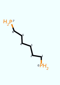 PCCCCCCP